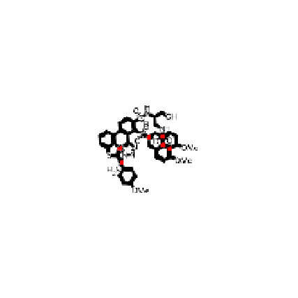 COc1ccc(CN(Cc2ccc(OC)cc2)S(=O)(=O)c2c(S(=O)(=O)NC(CO)CNC(=O)OC(C)(C)C)ccc(-c3cccc4sc(CN)nc34)c2-c2nnn(Cc3ccc(OC)cc3)n2)cc1